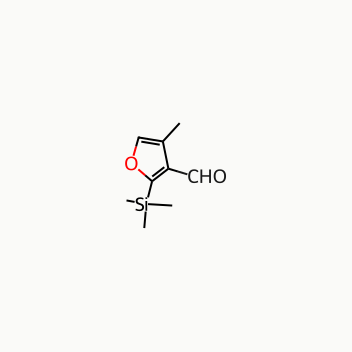 Cc1coc([Si](C)(C)C)c1C=O